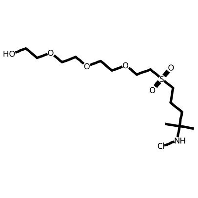 CC(C)(CCCS(=O)(=O)CCOCCOCCOCCO)NCl